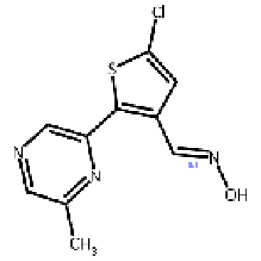 Cc1cncc(-c2sc(Cl)cc2/C=N/O)n1